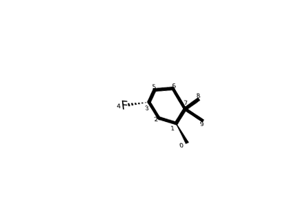 C[C@H]1C[C@H](F)CCC1(C)C